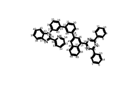 c1ccc(-c2nc(-c3ccccc3)nc(-c3cc(-c4cccc(-c5cccc(-n6c(-c7ccccn7)nc7ccccc76)c5)c4)cc4ccccc34)n2)cc1